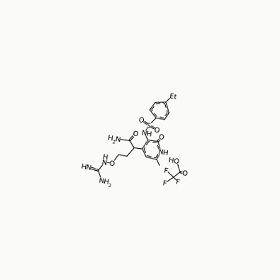 CCc1ccc(S(=O)(=O)Nc2c(C(CCONC(=N)N)C(N)=O)cc(C)[nH]c2=O)cc1.O=C(O)C(F)(F)F